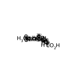 CS(=O)(=O)N1CCN(c2ccc(N3CCN(C(=O)NC4[C@@H]5CC6C[C@H]4CC(C(=O)O)(C6)C5)c4ccccc43)cc2)CC1